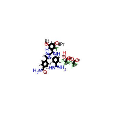 CCOc1cc(OC(C)C)c(F)c(C(Nc2ccc(C(=N)N)cc2)c2nc(-c3ccc(C(N)=O)cc3)c[nH]2)c1.O=C(O)C(F)(F)F.O=C(O)C(F)(F)F